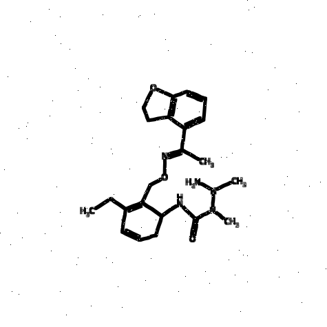 CCC1=C(CON=C(C)c2cccc3c2CCO3)C(NC(=O)N(C)N(C)N)CC=C1